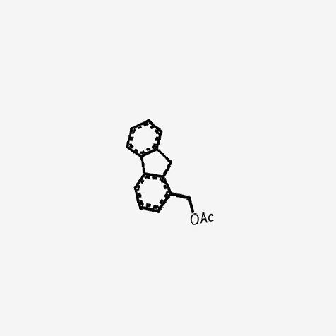 CC(=O)OCc1cccc2c1Cc1ccccc1-2